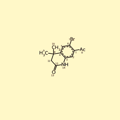 CC(=O)c1cc2c(cc1Br)C(C)(C)CC(=O)N2